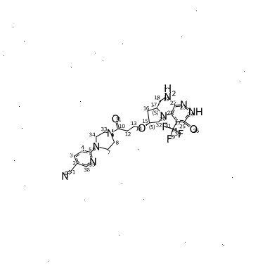 N#Cc1ccc(N2CCN(C(=O)CCO[C@H]3C[C@@H](CN)N(c4cn[nH]c(=O)c4C(F)(F)F)C3)CC2)nc1